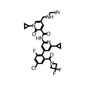 CC(C)CNCc1cc(C(=O)Nc2cc(-c3c(F)cc(Cl)cc3C(=O)N3CC(F)(F)C3)cc(C3CC3)n2)c(=O)n(C2CC2)c1